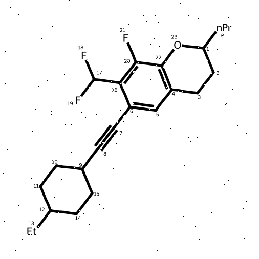 CCCC1CCc2cc(C#CC3CCC(CC)CC3)c(C(F)F)c(F)c2O1